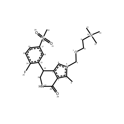 Cc1c2c(cn1COCC[Si](C)(C)C)C(c1cc(S(C)(=O)=O)ccc1F)CNC2=O